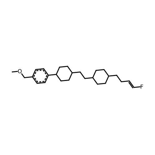 COCc1ccc(C2CCC(CCC3CCC(CCC=CF)CC3)CC2)cc1